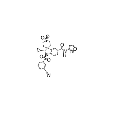 N#Cc1cccc(S(=O)(=O)N2c3ccc(C(=O)Nc4ccon4)cc3C3(CCS(=O)(=O)CC3)C2C2CC2)c1